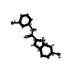 O=C(Nc1cccc(Br)c1)c1cc2ccc(Br)cc2[nH]1